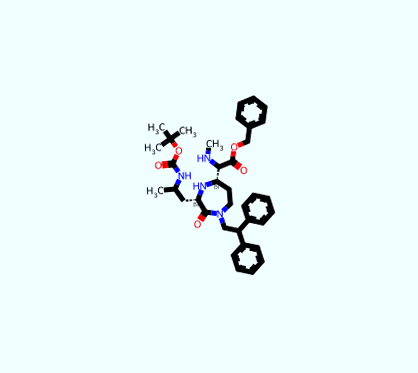 CNC(C(=O)OCc1ccccc1)[C@@H]1CCN(CC(c2ccccc2)c2ccccc2)C(=O)[C@H](CC(C)NC(=O)OC(C)(C)C)N1